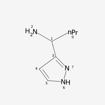 CCCC(N)c1cc[nH]n1